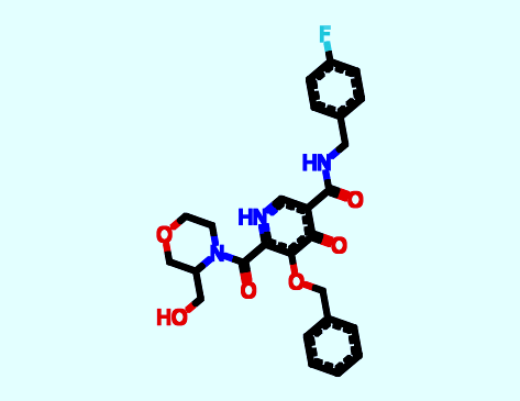 O=C(NCc1ccc(F)cc1)c1c[nH]c(C(=O)N2CCOCC2CO)c(OCc2ccccc2)c1=O